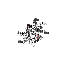 CC(C)(C)OC(=O)C[C@H](N)C(=O)N[C@H](CC(=O)OC(C)(C)C)C(=O)N[C@H](CC(=O)OC(C)(C)C)C(=O)N[C@H](CC(=O)OC(C)(C)C)C(=O)N[C@H](CC(=O)OC(C)(C)C)C(=O)N[C@H](CC(=O)OC(C)(C)C)C(=O)N[C@H](CC(=O)OC(C)(C)C)C(=O)N[C@H](CC(=O)OC(C)(C)C)C(=O)N[C@H](CC(=O)OC(C)(C)C)C(=O)N[C@H](CC(=O)OC(C)(C)C)C(=O)NCCOCCN=[N+]=[N-]